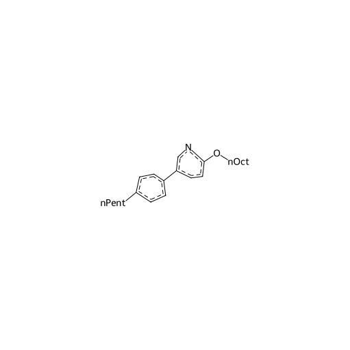 CCCCCCCCOc1ccc(-c2ccc(CCCCC)cc2)cn1